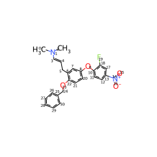 CN(C)/C=C/Cc1cc(Oc2ccc([N+](=O)[O-])cc2F)ccc1OCc1ccccc1